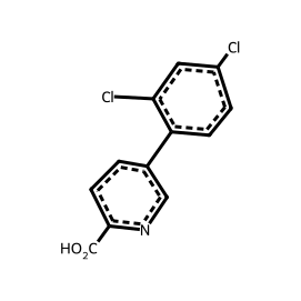 O=C(O)c1ccc(-c2ccc(Cl)cc2Cl)cn1